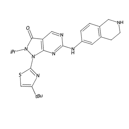 CC(C)n1c(=O)c2cnc(Nc3ccc4c(c3)CCNC4)nc2n1-c1nc(C(C)(C)C)cs1